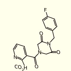 O=C(O)c1ncccc1C(=O)N1CC(=O)N(Cc2ccc(F)cc2)C(=O)C1